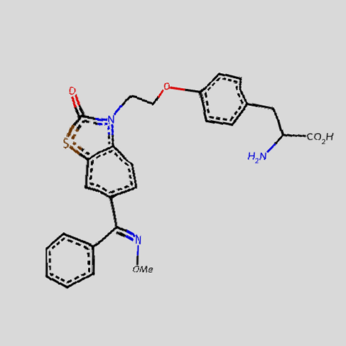 CO/N=C(\c1ccccc1)c1ccc2c(c1)sc(=O)n2CCOc1ccc(CC(N)C(=O)O)cc1